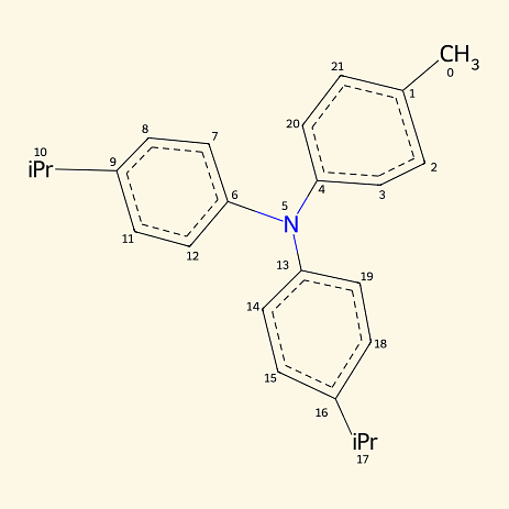 Cc1ccc(N(c2ccc(C(C)C)cc2)c2ccc(C(C)C)cc2)cc1